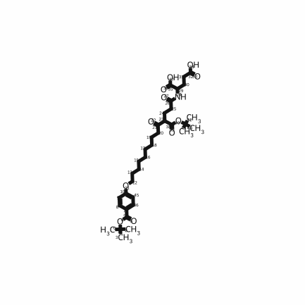 CC(C)(C)OC(=O)c1ccc(OCCCCCCCCCC(=O)C(CCC(=O)NC(CCC(=O)O)C(=O)O)C(=O)OC(C)(C)C)cc1